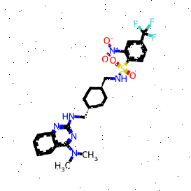 CN(C)c1nc(NC[C@H]2CC[C@H](CNS(=O)(=O)c3ccc(C(F)(F)F)cc3[N+](=O)[O-])CC2)nc2ccccc12